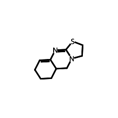 C1=C2N=C3SCCN3CC2CCC1